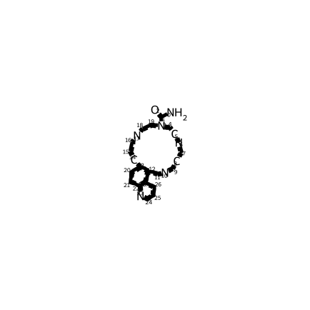 NC(=O)n1ccncccncc2c(cccncc1)ccc1ncccc12